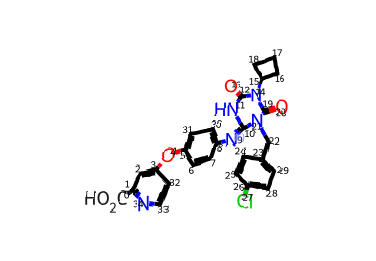 O=C(O)c1cc(Oc2ccc(/N=c3\[nH]c(=O)n(C4CCC4)c(=O)n3Cc3ccc(Cl)cc3)cc2)ccn1